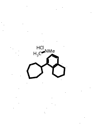 CNC.Cl.c1cc2c(c(C3CCCCCC3)c1)CCCC2